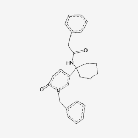 O=C(Cc1ccccc1)NC1(c2ccc(=O)n(Cc3ccccc3)c2)CCCCC1